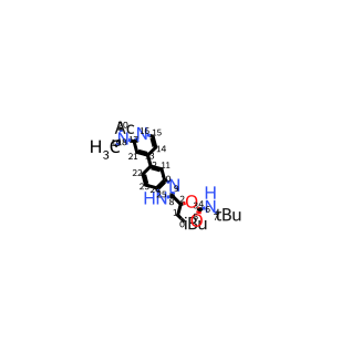 CCC(C)CC(OC(=O)NC(C)(C)C)c1nc2cc(-c3ccnc(N(C)C(C)=O)c3)ccc2[nH]1